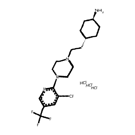 Cl.Cl.Cl.N[C@H]1CC[C@H](CCN2CCN(c3ncc(C(F)(F)F)cc3Cl)CC2)CC1